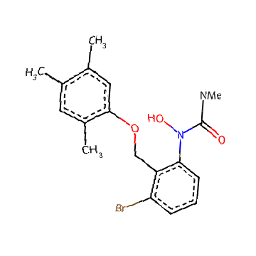 CNC(=O)N(O)c1cccc(Br)c1COc1cc(C)c(C)cc1C